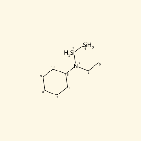 CCN([SiH2][SiH3])C1CCCCC1